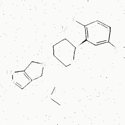 COC[C@@H]1c2cn[nH]c2CN1[C@H]1CO[C@H](c2cc(F)ccc2F)[C@@H](N)C1